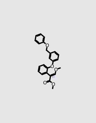 CO/C=C(/C(=O)OC)c1ccccc1Oc1cccc(COc2ccccc2)c1